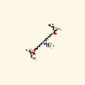 CCCCC(CC)C(=O)OCCCCCCCCN(CCCCCCCCOC(=O)C(CC)CCCC)CCN(C)C